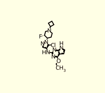 CCOc1nc(Nc2cnn([C@@H]3CCN(C4CCC4)C[C@H]3F)c2Cl)nc2[nH]ccc12